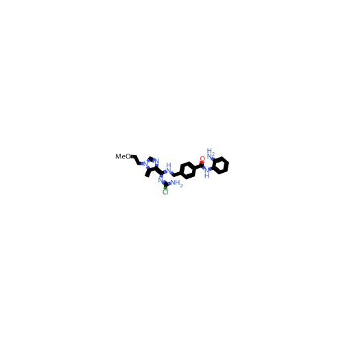 C=c1/c(=C(\N=C(/N)Cl)NCc2ccc(C(=O)Nc3ccccc3N)cc2)ncn1CCOC